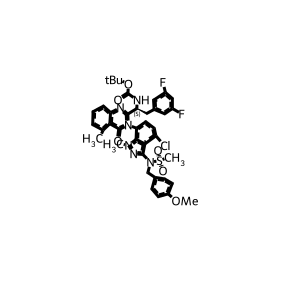 COc1ccc(CN(c2nn(C)c3c(-n4c([C@H](Cc5cc(F)cc(F)c5)NC(=O)OC(C)(C)C)nc5cccc(C)c5c4=O)ccc(Cl)c23)S(C)(=O)=O)cc1